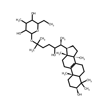 CCC1OC(OC(C)(C)CCC(O)[C@@H](C)[C@H]2CC[C@@]3(C)C4=C(CC[C@]23C)[C@@]2(C)CC[C@H](O)C(C)(C)C2CC4)C(O)C(C)C1O